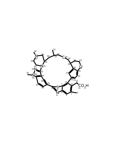 Cc1cc2nc3sc2c(c1CC(=O)O)-c1ccc2c(c1)C(CCCC(C)CC1CN(C)CCN1c1nn(C)c4ccc-3cc14)CCO2